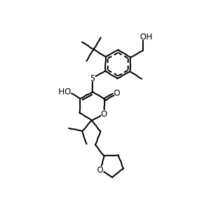 Cc1cc(SC2=C(O)CC(CCC3CCCO3)(C(C)C)OC2=O)c(C(C)(C)C)cc1CO